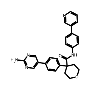 Nc1ncc(-c2ccc(C3(C(=O)Nc4ccc(-c5cccnc5)cc4)CCOCC3)cc2)cn1